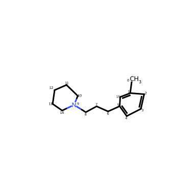 Cc1cccc(CCCN2CCCCC2)c1